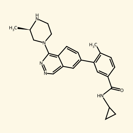 Cc1ccc(C(=O)NC2CC2)cc1-c1ccc2c(N3CCN[C@H](C)C3)nncc2c1